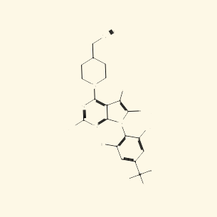 [C-]#[N+]CC1CCN(c2nc(C)nc3c2c(C)c(C)n3-c2c(Br)cc(C(F)(F)F)cc2Br)CC1